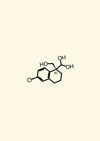 OC[C@@]1(C(O)O)CCCc2cc(Cl)ccc21